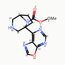 COOC(=O)N1C2CCC1(c1ncnc3ocnc13)CNC2